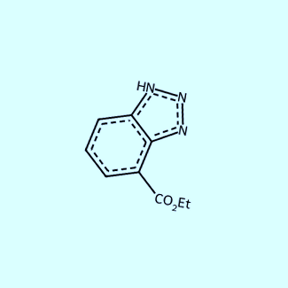 CCOC(=O)c1cccc2[nH]nnc12